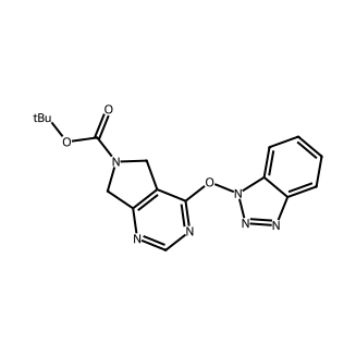 CC(C)(C)OC(=O)N1Cc2ncnc(On3nnc4ccccc43)c2C1